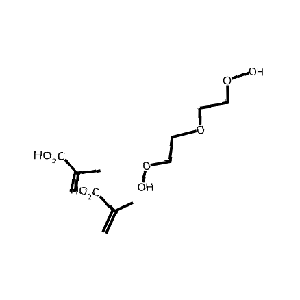 C=C(C)C(=O)O.C=C(C)C(=O)O.OOCCOCCOO